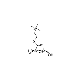 B[C@@H]1O[C@H](CO)C=C1SCC[Si](C)(C)C